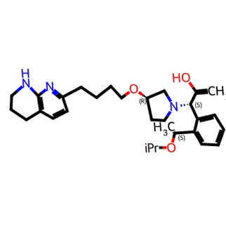 C=C(O)[C@H](c1ccccc1[C@H](C)OC(C)C)N1CC[C@@H](OCCCCc2ccc3c(n2)NCCC3)C1